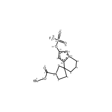 CC(C)(C)OC(=O)N1CCC2(CCCn3nc(OS(=O)(=O)C(F)(F)F)cc32)C1